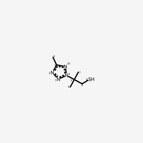 Cc1nnn(C(C)(C)CS)n1